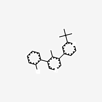 Cc1c(-c2ccnc(C(C)(C)C)c2)cncc1-c1cc[c]cc1Cl